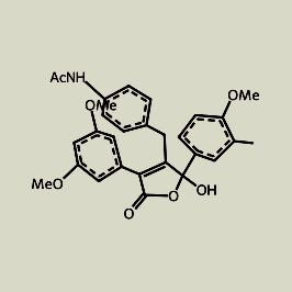 COc1cc(OC)cc(C2=C(Cc3ccc(NC(C)=O)cc3)C(O)(c3ccc(OC)c(C)c3)OC2=O)c1